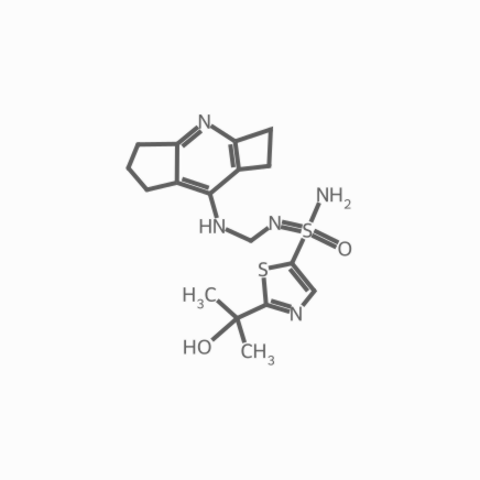 CC(C)(O)c1ncc(S(N)(=O)=NCNc2c3c(nc4c2CC4)CCC3)s1